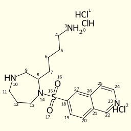 Cl.Cl.Cl.NCCCCC1CNCCCN1S(=O)(=O)c1ccc2cnccc2c1